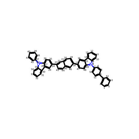 c1ccc(-c2ccc(-n3c4ccccc4c4cc(-c5ccc6cc(-c7ccc8c(c7)c7ccccc7n8-c7ccccc7)ccc6c5)ccc43)cc2)cc1